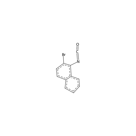 O=C=Nc1c(Br)ccc2ccccc12